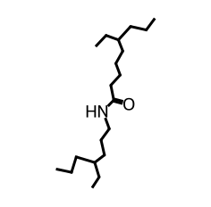 CCCC(CC)CCCCC(=O)NCCCC(CC)CCC